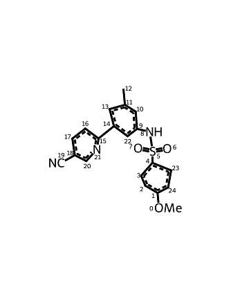 COc1ccc(S(=O)(=O)Nc2cc(C)cc(-c3ccc(C#N)cn3)c2)cc1